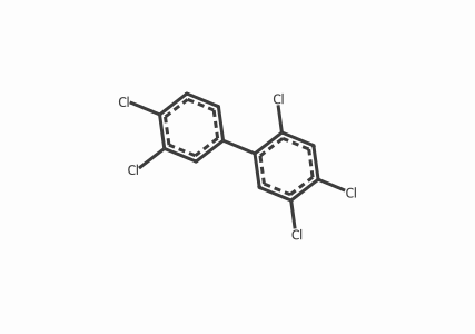 Clc1ccc(-c2cc(Cl)c(Cl)cc2Cl)cc1Cl